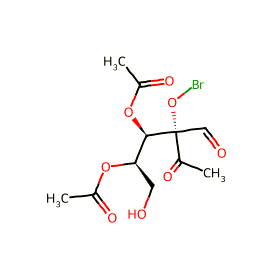 CC(=O)O[C@H]([C@@H](CO)OC(C)=O)[C@](C=O)(OBr)C(C)=O